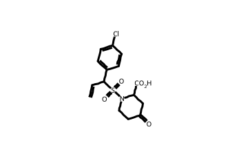 C=CC(c1ccc(Cl)cc1)S(=O)(=O)N1CCC(=O)CC1C(=O)O